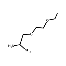 CCOCCOCC(N)N